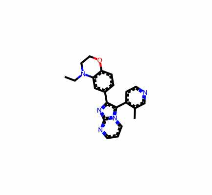 CCN1CCOc2ccc(-c3nc4ncccn4c3-c3ccncc3C)cc21